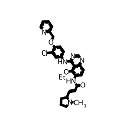 CCOc1c(NC(=O)/C=C/C2CCCN2C)ccc2ncnc(Nc3ccc(OCc4ccccn4)c(Cl)c3)c12